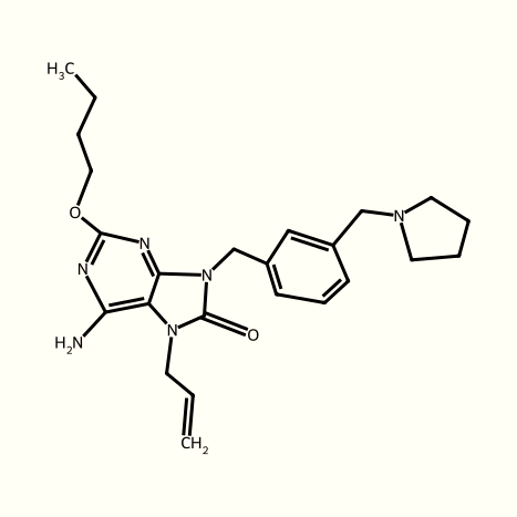 C=CCn1c(=O)n(Cc2cccc(CN3CCCC3)c2)c2nc(OCCCC)nc(N)c21